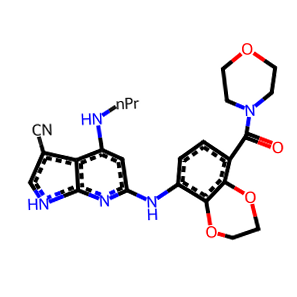 CCCNc1cc(Nc2ccc(C(=O)N3CCOCC3)c3c2OCCO3)nc2[nH]cc(C#N)c12